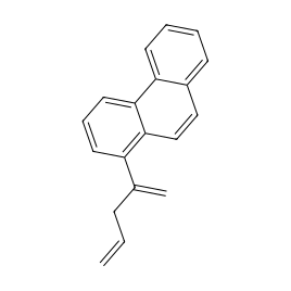 C=CCC(=C)c1cccc2c1ccc1ccccc12